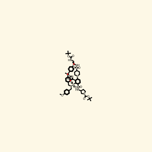 COc1ccc(CN(Cc2ccc(OC)cc2)S(=O)(=O)c2c(S(=O)(=O)NC3CCN(C(=O)OC(C)(C)C)C3)ccc(N3CCC(S(=O)(=O)NCCNC(=O)OC(C)(C)C)CC3)c2-c2nnn(Cc3ccc(OC)cc3)n2)cc1